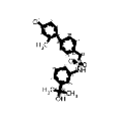 Cc1cc(Cl)ccc1-c1ccc(CS(=O)(=O)Nc2cccc(C(C)(C)O)c2)cc1